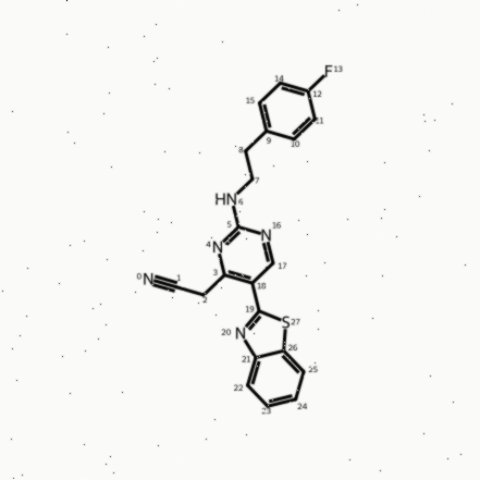 N#CCc1nc(NCCc2ccc(F)cc2)ncc1-c1nc2ccccc2s1